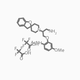 COc1ccc(NC(C)=O)c(OCC(CN)N2CCC3(CC2)Cc2ccccc2O3)c1.O=C(O)C(F)(F)F.O=C(O)C(F)(F)F